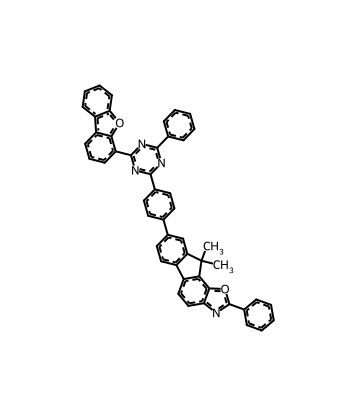 CC1(C)c2cc(-c3ccc(-c4nc(-c5ccccc5)nc(-c5cccc6c5oc5ccccc56)n4)cc3)ccc2-c2ccc3nc(-c4ccccc4)oc3c21